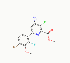 COC(=O)c1nc(-c2ccc(Br)c(OC)c2F)cc(N)c1Cl